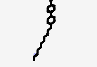 C/C=C/CCCCCOCCC1CCC(c2ccc(C#N)cc2)CC1